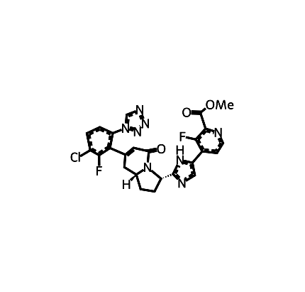 COC(=O)c1nccc(-c2cnc([C@@H]3CC[C@@H]4CC(c5c(-n6cnnn6)ccc(Cl)c5F)=CC(=O)N43)[nH]2)c1F